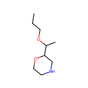 CCCOC(C)C1CNCCO1